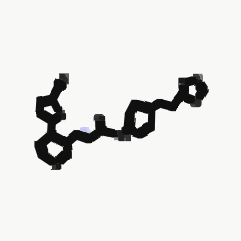 N#Cc1ccc(-c2ccncc2/C=C/C(=O)Nc2ccc(CCc3nnco3)cc2)s1